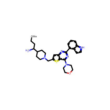 COCCC(N)C1CCN(Cc2cc3nc(-c4cccc5[nH]ccc45)nc(N4CCOCC4)c3s2)CC1